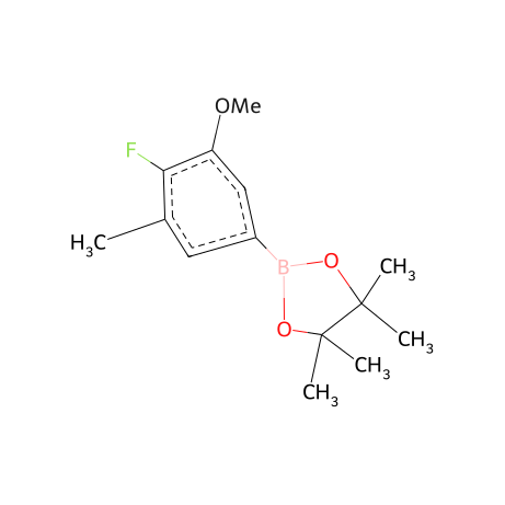 COc1cc(B2OC(C)(C)C(C)(C)O2)cc(C)c1F